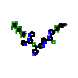 C=C(c1ccncc1)c1ccncc1.Clc1cc(-c2ccccn2)nc(-c2ccccn2)c1.Clc1cc(-c2ccccn2)nc(-c2ccccn2)c1.F[B-](F)(F)F.F[B-](F)(F)F.F[B-](F)(F)F.F[B-](F)(F)F.[Pt+2].[Pt+2]